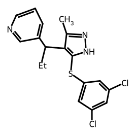 CCC(c1cccnc1)c1c(C)n[nH]c1Sc1cc(Cl)cc(Cl)c1